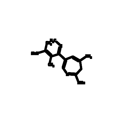 C/N=C(C1=CN=C(NC)CC(N)=C1)\C(C)=C(/C)NC